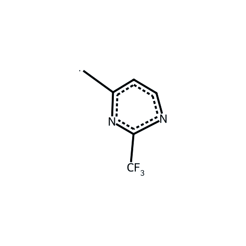 [CH2]c1ccnc(C(F)(F)F)n1